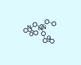 c1ccc(-c2cccc(-c3cc(-c4cccc(-c5nc6ccccc6c6oc7ccccc7c56)c4)nc(-c4ccc(-c5cccc6c5oc5ccccc56)cc4)n3)c2)cc1